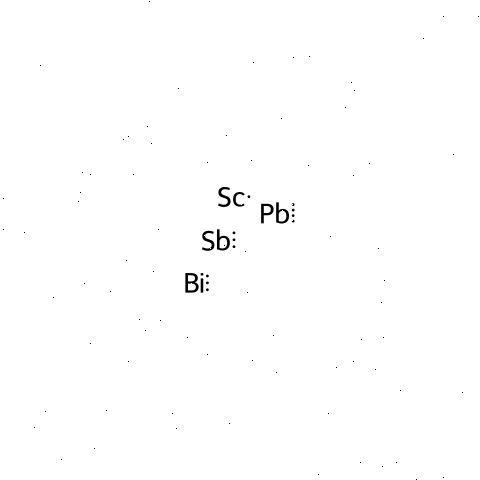 [Bi].[Pb].[Sb].[Sc]